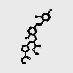 CC(C)(C)OC(=O)N1CCC(CN(Cc2cc(C=Cc3ccc(Cl)cc3Br)cnc2O)C(=O)OC(C)(C)C)C1